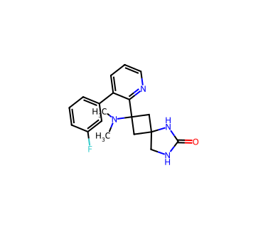 CN(C)C1(c2ncccc2-c2cccc(F)c2)CC2(CNC(=O)N2)C1